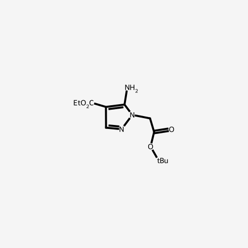 CCOC(=O)c1cnn(CC(=O)OC(C)(C)C)c1N